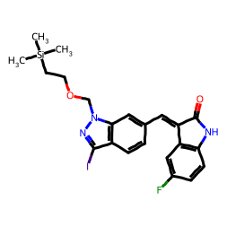 C[Si](C)(C)CCOCn1nc(I)c2ccc(/C=C3/C(=O)Nc4ccc(F)cc43)cc21